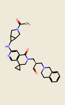 CC(=O)N1CC2C(C1)C2Nc1cc2c(cn1)C1(CC1)CN(C[C@H](C=O)CN1CCc3ccccc3C1)C2=O